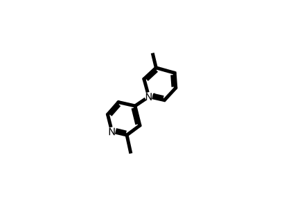 Cc1ccc[n+](-c2ccnc(C)c2)c1